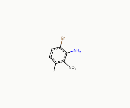 Cc1ccc(Br)c(N)c1[N+](=O)[O-]